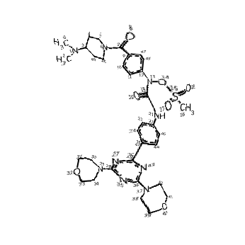 CN(C)C1CCN(C(=O)c2ccc(N(OS(C)(=O)=O)C(=O)Nc3ccc(-c4nc(N5CCOCC5)nc(N5CCOCC5)n4)cc3)cc2)CC1